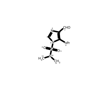 CCCc1c(C=O)ncn1S(=O)(=O)N(C)C